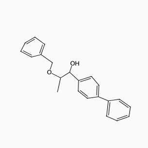 CC(OCc1ccccc1)C(O)c1ccc(-c2ccccc2)cc1